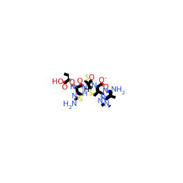 CC[C@@H](O/N=C(\C(=O)NC1(C=S)C(=O)N2C(C(=O)[O-])=C(c3nc(N)c(C)c4n(C)cn[n+]34)CS[C@H]21)c1csc(N)n1)C(=O)O